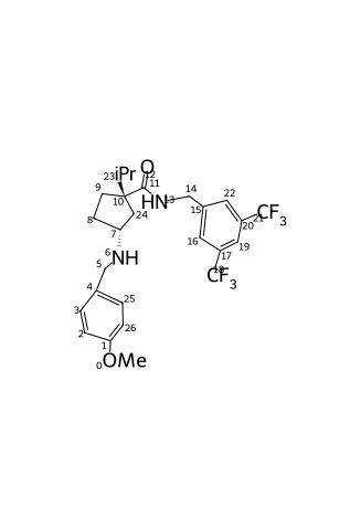 COc1ccc(CN[C@@H]2CC[C@@](C(=O)NCc3cc(C(F)(F)F)cc(C(F)(F)F)c3)(C(C)C)C2)cc1